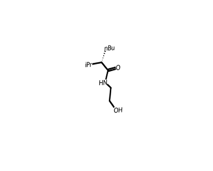 CCCC[C@H](C(=O)NCCO)C(C)C